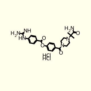 CC(C)(C(N)=O)N1CCN(C(=O)c2ccc(OC(=O)c3ccc(NC(=N)N)cc3)cc2)CC1.Cl.Cl